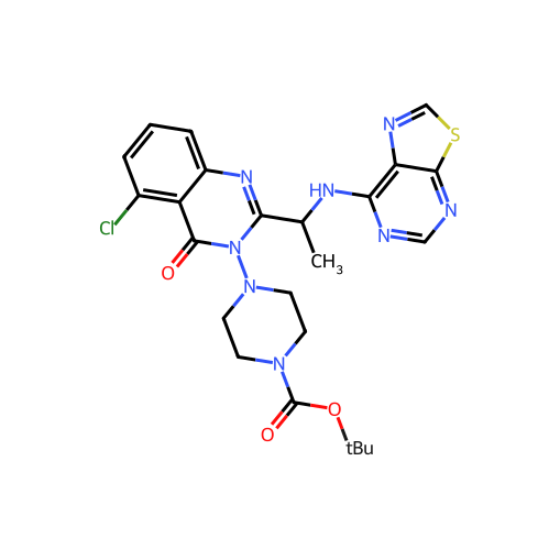 CC(Nc1ncnc2scnc12)c1nc2cccc(Cl)c2c(=O)n1N1CCN(C(=O)OC(C)(C)C)CC1